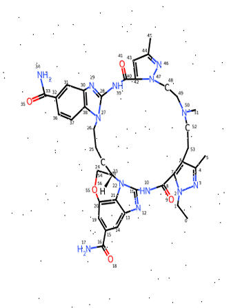 CCn1nc(C)c2c1C(=O)Nc1nc3cc(C(N)=O)cc4c3n1[C@@H](CCCn1c(nc3cc(C(N)=O)ccc31)NC(=O)c1cc(C)nn1CCN(C)CC2)CO4